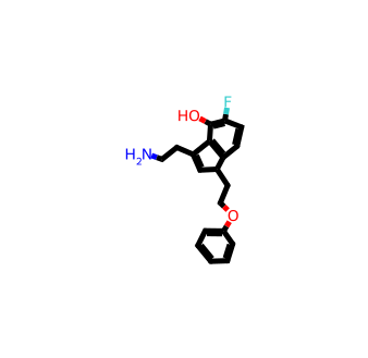 NCCC1=CC(CCOc2ccccc2)c2ccc(F)c(O)c21